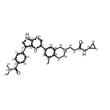 Cc1cc(-c2cnc3[nH]cc(-c4ccc(C(=O)N(C)C)cc4)c3n2)cc2c1CCN(CCC(=O)NC1CC1)C2